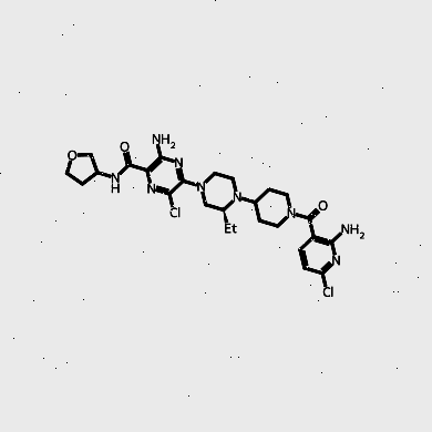 CC[C@H]1CN(c2nc(N)c(C(=O)NC3CCOC3)nc2Cl)CCN1C1CCN(C(=O)c2ccc(Cl)nc2N)CC1